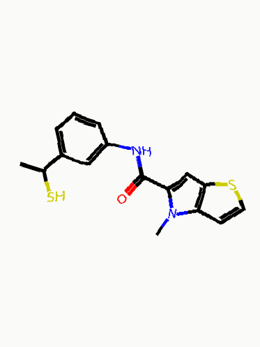 CC(S)c1cccc(NC(=O)c2cc3sccc3n2C)c1